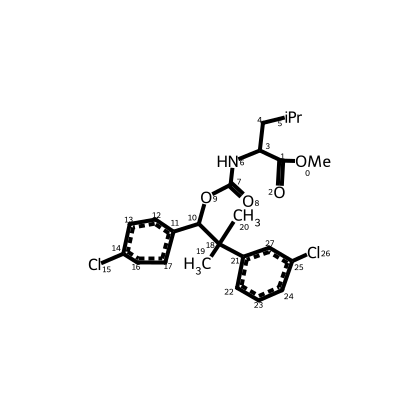 COC(=O)C(CC(C)C)NC(=O)OC(c1ccc(Cl)cc1)C(C)(C)c1cccc(Cl)c1